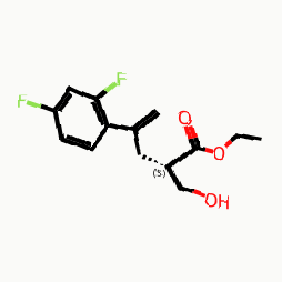 C=C(C[C@@H](CO)C(=O)OCC)c1ccc(F)cc1F